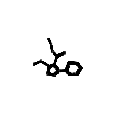 CCOC(=O)c1c(SI)nnn1-c1ccccc1